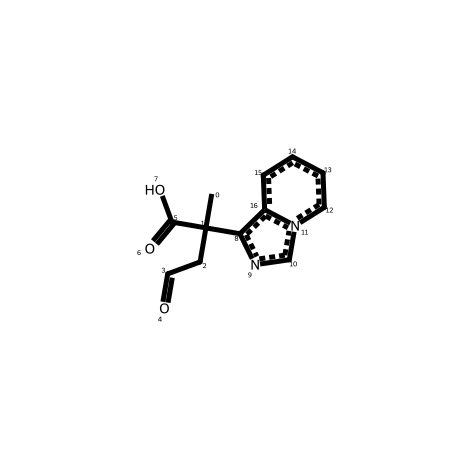 CC(CC=O)(C(=O)O)c1ncn2ccccc12